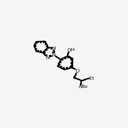 CCCCC(CC)COc1ccc(-n2nc3ccccc3n2)c(O)c1